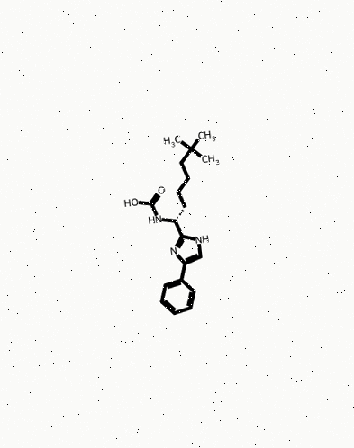 CC(C)(C)CCCC[C@@H](NC(=O)O)c1nc(-c2ccccc2)c[nH]1